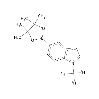 [2H]C([2H])([2H])n1ccc2cc(B3OC(C)(C)C(C)(C)O3)ccc21